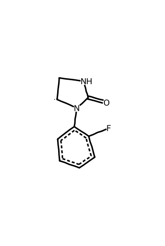 O=C1NC[CH]N1c1ccccc1F